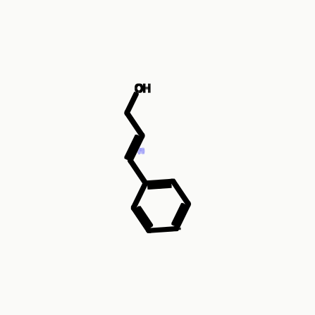 OC/C=C/c1cc[c]cc1